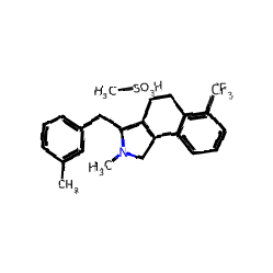 CS(=O)(=O)O.Cc1cccc(CC2C3CCc4c(cccc4C(F)(F)F)C3CN2C)c1